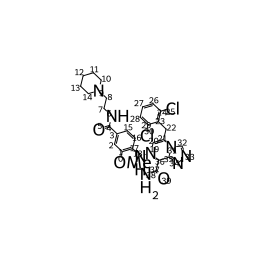 COc1cc(C(=O)NCCN2CCCCC2)ccc1NN1C=C(Cc2c(Cl)cccc2Cl)n2cnnc2C1C(N)=O